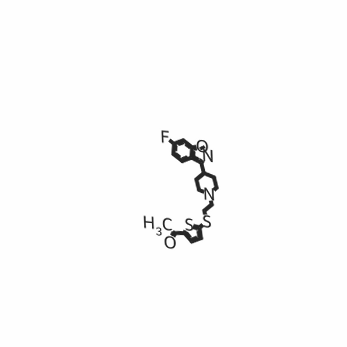 CC(=O)c1ccc(SCCN2CCC(c3noc4cc(F)ccc34)CC2)s1